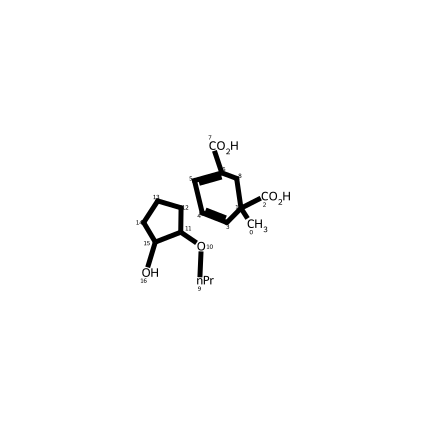 CC1(C(=O)O)C=CC=C(C(=O)O)C1.CCCOC1CCCC1O